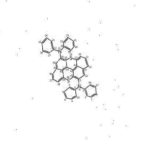 c1ccc(N(c2ccccc2)c2cc3cccc4sc5c(N(c6ccccc6)c6ccccc6)cc6cccc7sc2c(c34)-c5c67)cc1